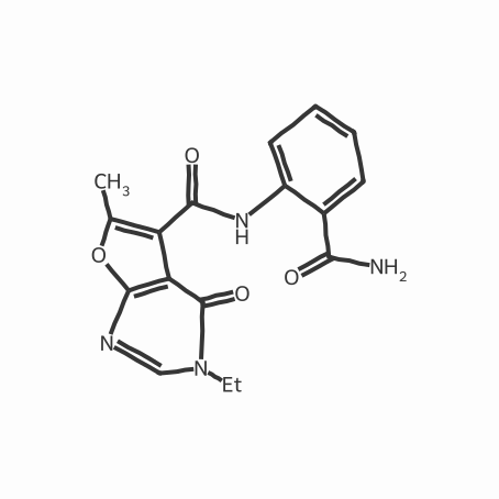 CCn1cnc2oc(C)c(C(=O)Nc3ccccc3C(N)=O)c2c1=O